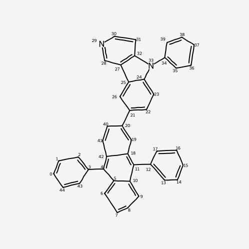 c1ccc(-c2c3ccccc3c(-c3ccccc3)c3cc(-c4ccc5c(c4)c4cnccc4n5-c4ccccc4)ccc23)cc1